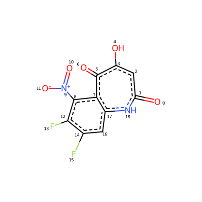 O=c1cc(O)c(=O)c2c([N+](=O)[O-])c(F)c(F)cc2[nH]1